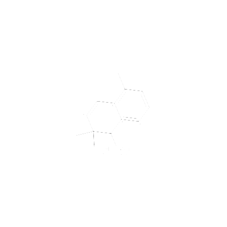 Cc1cccc2c1C=CC(C)(C(=O)O)C2C(=O)O